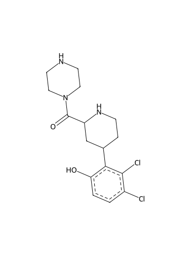 O=C(C1CC(c2c(O)ccc(Cl)c2Cl)CCN1)N1CCNCC1